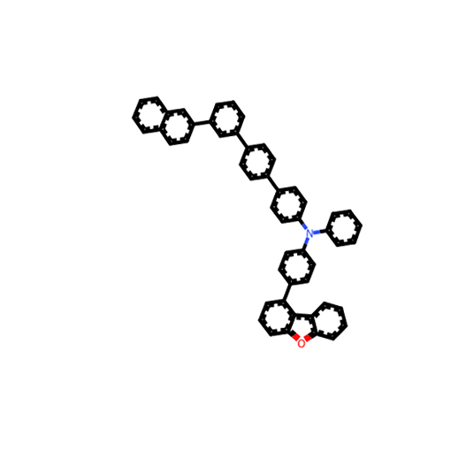 c1ccc(N(c2ccc(-c3ccc(-c4cccc(-c5ccc6ccccc6c5)c4)cc3)cc2)c2ccc(-c3cccc4oc5ccccc5c34)cc2)cc1